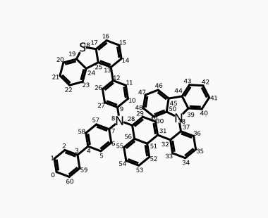 c1ccc(-c2ccc(N(c3ccc(-c4cccc5sc6ccccc6c45)cc3)c3ccc(-c4ccccc4-n4c5ccccc5c5ccccc54)c4ccccc34)cc2)cc1